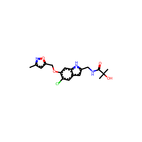 Cc1cc(COc2cc3[nH]c(CNC(=O)C(C)(C)O)cc3cc2Cl)on1